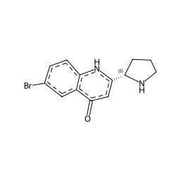 O=c1cc([C@@H]2CCCN2)[nH]c2ccc(Br)cc12